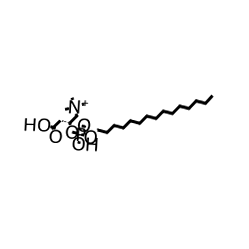 CCCCCCCCCCCCCCCOP(=O)(O)O[C@H](CC(=O)O)C[N+](C)(C)C